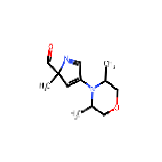 CC1COCC(C)N1C1=CC(C)(C=O)N=C1